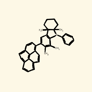 Cc1c(-c2ccc3ccc4cccc5ccc2c3c45)cc2c(c1C)N(c1ccccc1)C1(C)CCCCC21C